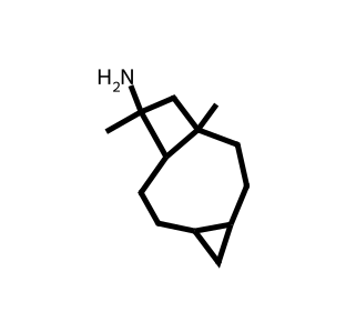 CC1(N)CC2(C)CCC3CC3CCC12